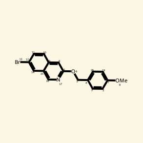 COc1ccc(COc2cc3ccc(Br)cc3cn2)cc1